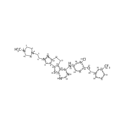 CN1CCN(CCn2cc3c(n2)CCc2c-3sc3ncnc(Nc4ccc(OCc5cccc(C(F)(F)F)c5)c(Cl)c4)c23)CC1